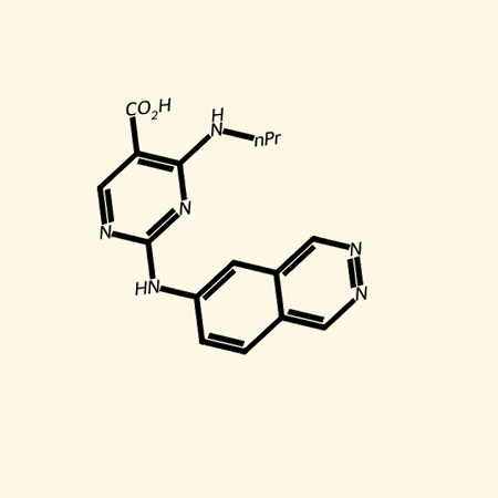 CCCNc1nc(Nc2ccc3cnncc3c2)ncc1C(=O)O